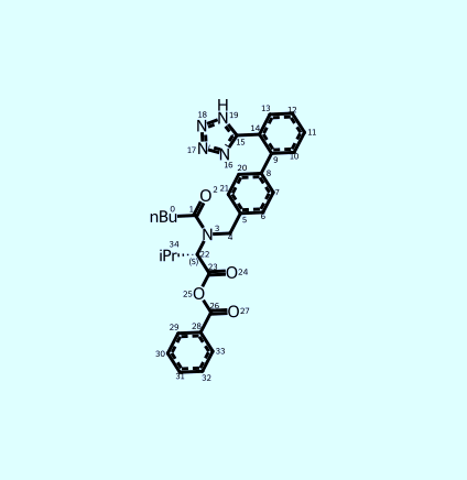 CCCCC(=O)N(Cc1ccc(-c2ccccc2-c2nnn[nH]2)cc1)[C@H](C(=O)OC(=O)c1ccccc1)C(C)C